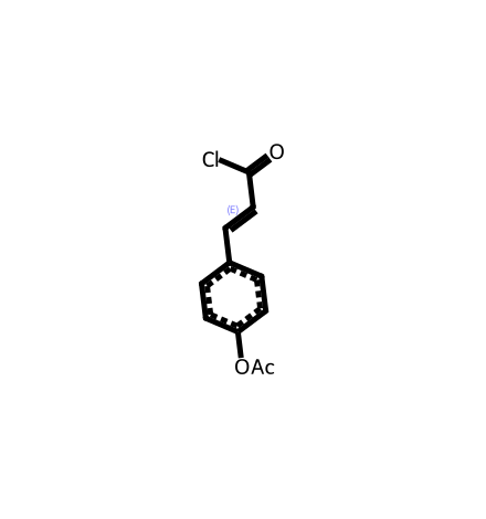 CC(=O)Oc1ccc(/C=C/C(=O)Cl)cc1